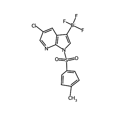 Cc1ccc(S(=O)(=O)n2cc([B-](F)(F)F)c3cc(Cl)cnc32)cc1